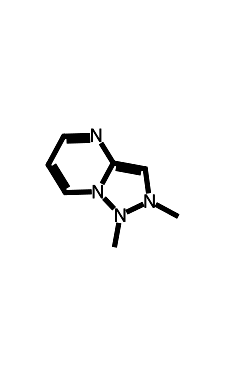 CN1C=C2N=CC=CN2N1C